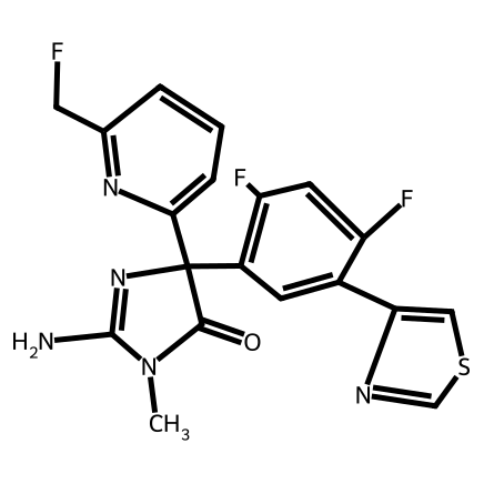 CN1C(=O)C(c2cccc(CF)n2)(c2cc(-c3cscn3)c(F)cc2F)N=C1N